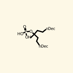 CCCCCCCCCCCCC(C)(CCCCCCCCCCCC)OP(=O)(O)O